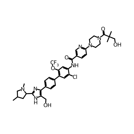 CC1CC(c2nc(-c3ccc(-c4cc(Cl)c(NC(=O)c5ccc(N6CCN(C(=O)C(C)(C)CO)CC6)nc5)cc4OC(F)(F)F)cc3)c(CO)[nH]2)N(C)C1